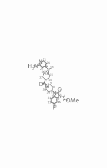 COCCn1c(=O)n(C2CCN(C(=O)C3CCN(C(C)c4ccnc(N)c4)CC3)CC2)c2ccc(F)cc21